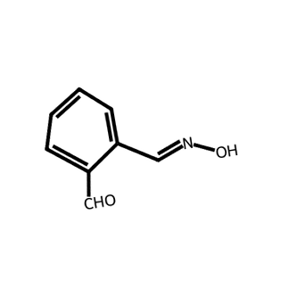 O=Cc1ccccc1C=NO